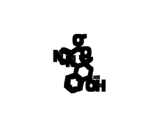 COC(=O)c1cncn1[C@@H]1c2ccccc2[C@](C)(O)CC1(C)C